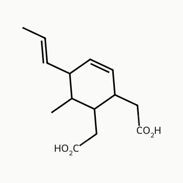 CC=CC1C=CC(CC(=O)O)C(CC(=O)O)C1C